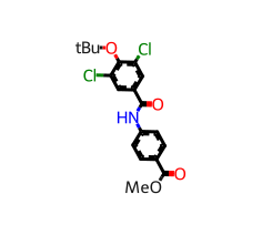 COC(=O)c1ccc(NC(=O)c2cc(Cl)c(OC(C)(C)C)c(Cl)c2)cc1